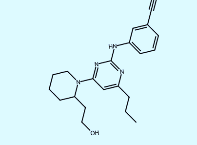 CCCc1cc(N2CCCCC2CCO)nc(Nc2cccc(C#N)c2)n1